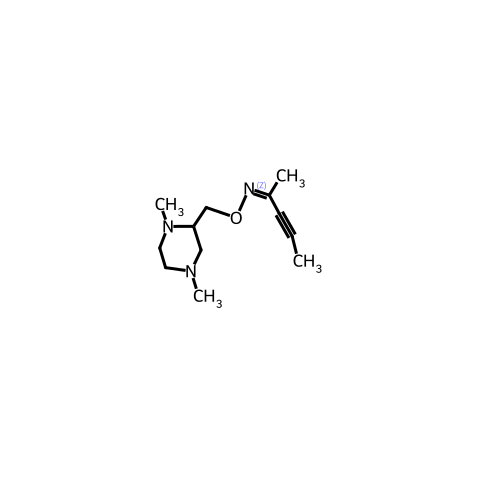 CC#C/C(C)=N\OCC1CN(C)CCN1C